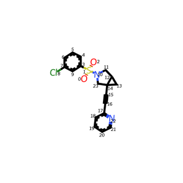 O=S(=O)(c1cccc(Cl)c1)N1CC2CC2(C#Cc2ccccn2)C1